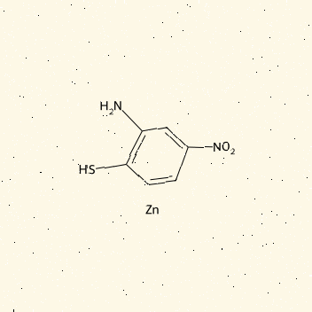 Nc1cc([N+](=O)[O-])ccc1S.[Zn]